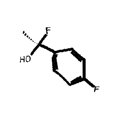 C[C@](O)(F)c1ccc(F)cc1